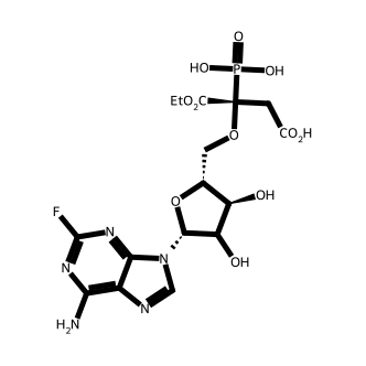 CCOC(=O)[C@@](CC(=O)O)(OC[C@H]1O[C@@H](n2cnc3c(N)nc(F)nc32)C(O)[C@@H]1O)P(=O)(O)O